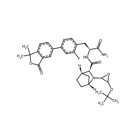 CC(C)(C)OC1OC1N1[C@@H]2CC[C@@H](C2)[C@H]1C(=O)N[C@@H](Cc1ccc(-c2ccc3c(c2)C(=O)OC3(C)C)cc1F)C(N)=O